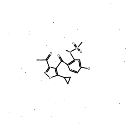 CN(c1cc(Cl)ccc1C(=O)c1c(C(=O)O)noc1C1CC1)S(C)(=O)=O